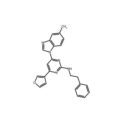 Cc1ccc2c(c1)ncn2-c1cc(-c2ccoc2)nc(NCCc2ccccc2)n1